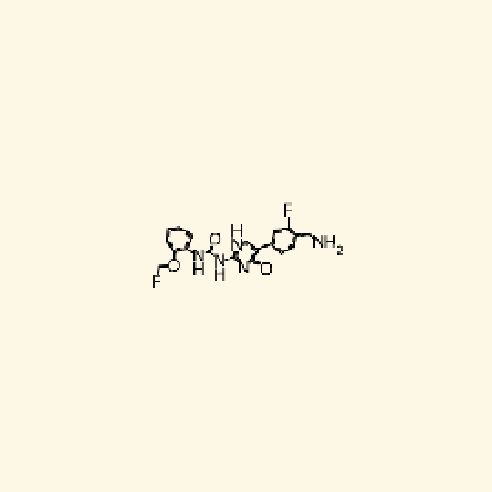 NCc1ccc(-c2c[nH]c(NC(=O)Nc3ccccc3OCF)nc2=O)cc1F